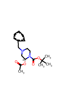 CC(=O)O[C@@H]1CN(Cc2ccccc2)CCN1C(=O)OC(C)(C)C